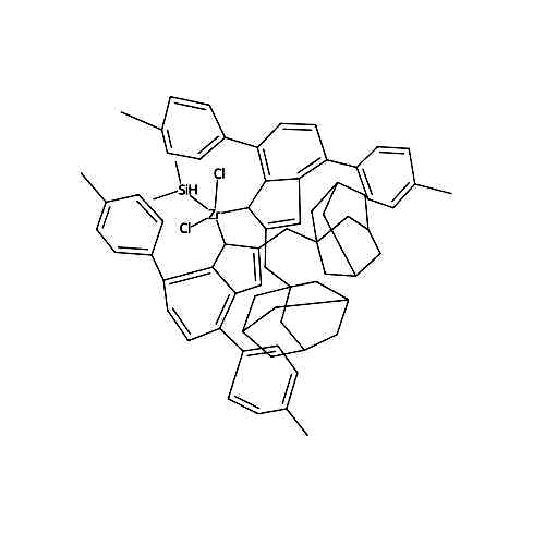 Cc1ccc(-c2ccc(-c3ccc(C)cc3)c3c2C=C(CC24CC5CC(CC(C5)C2)C4)[CH]3[Zr]([Cl])([Cl])([CH]2C(CC34CC5CC(CC(C5)C3)C4)=Cc3c(-c4ccc(C)cc4)ccc(-c4ccc(C)cc4)c32)[SiH](C)C)cc1